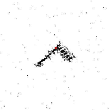 CCCC(=O)O.CCCC(=O)O.CCCC(=O)O.CCCC(=O)O.CCCC(=O)O.CCCC(=O)O.CCCC(=O)O.CCCC(=O)O.CCCCCCCC(CC)C(=O)O